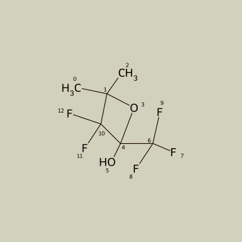 CC1(C)OC(O)(C(F)(F)F)C1(F)F